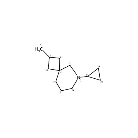 CC1CC2(CCCN(C3CC3)C2)C1